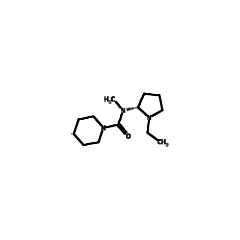 CCN1CCC[C@H]1N(C)C(=O)N1CC[CH]CC1